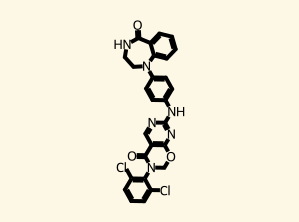 O=C1NCCN(c2ccc(Nc3ncc4c(n3)OCN(c3c(Cl)cccc3Cl)C4=O)cc2)c2ccccc21